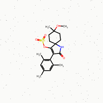 COC1(C)CCC2(CC1)NC(=O)C(c1c(C)cc(C)cc1C)=C2O[SH](=O)=O